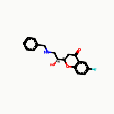 O=C1C[C@H]([C@H](O)CNCc2ccccc2)Oc2ccc(F)cc21